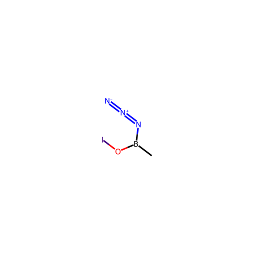 CB(N=[N+]=[N-])OI